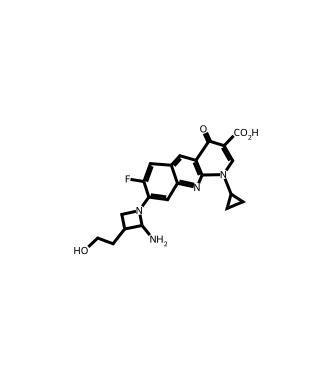 NC1C(CCO)CN1c1cc2nc3c(cc2cc1F)c(=O)c(C(=O)O)cn3C1CC1